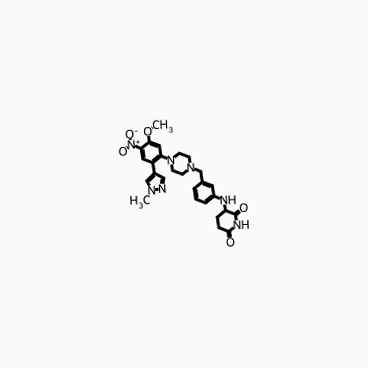 COc1cc(N2CCN(Cc3cccc(NC4CCC(=O)NC4=O)c3)CC2)c(-c2cnn(C)c2)cc1[N+](=O)[O-]